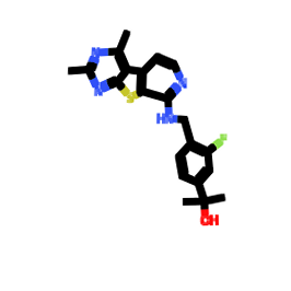 Cc1nc(C)c2c(n1)sc1c(NCc3ccc(C(C)(C)O)cc3F)nccc12